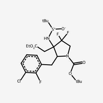 CCOC(=O)CC1(N[S+]([O-])C(C)(C)C)C(Cc2cccc(Cl)c2F)N(C(=O)OC(C)(C)C)CC1(F)F